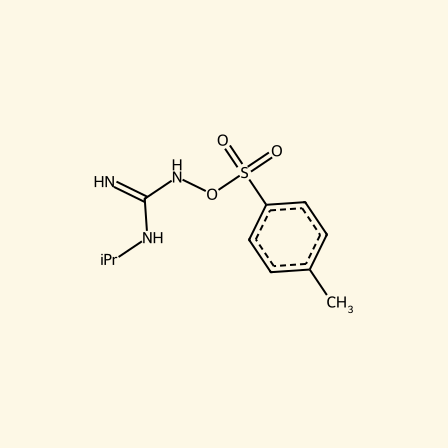 Cc1ccc(S(=O)(=O)ONC(=N)NC(C)C)cc1